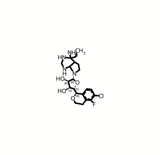 CCC1(N)NCNC2C1CCN2[C@@H]1O[C@H]([C@@H]2OCCc3c2ccc(Cl)c3F)[C@@H](O)[C@H]1O